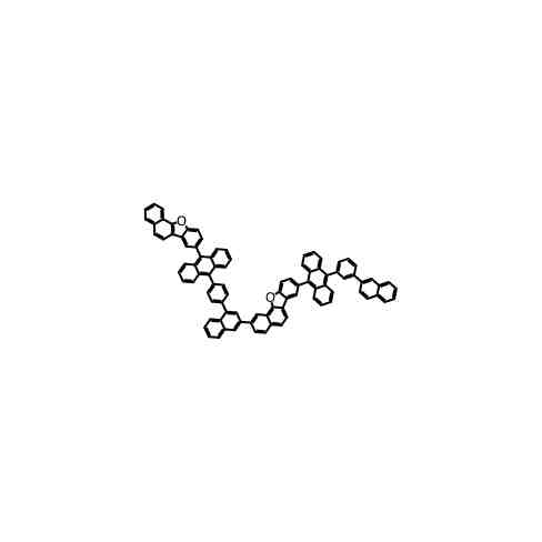 c1cc(-c2ccc3ccccc3c2)cc(-c2c3ccccc3c(-c3ccc4oc5c6cc(-c7cc(-c8ccc(-c9c%10ccccc%10c(-c%10ccc%11oc%12c%13ccccc%13ccc%12c%11c%10)c%10ccccc9%10)cc8)c8ccccc8c7)ccc6ccc5c4c3)c3ccccc23)c1